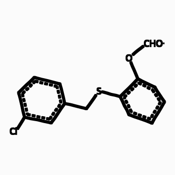 O=[C]Oc1ccccc1SCc1cccc(Cl)c1